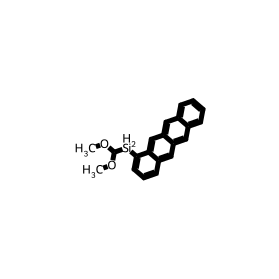 COC(OC)[SiH2]c1cccc2cc3cc4ccccc4cc3cc12